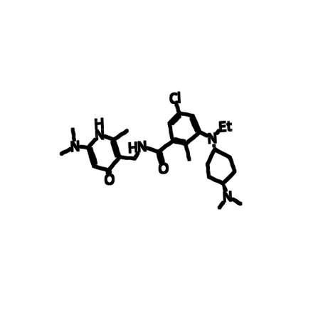 CCN(c1cc(Cl)cc(C(=O)NCc2c(C)[nH]c(N(C)C)cc2=O)c1C)[C@H]1CC[C@H](N(C)C)CC1